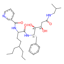 CCCC(CCC)CCC(NC(=O)c1cccnc1)C(=O)N[C@@H](Cc1ccccc1)[C@@H](O)[C@H](O)CC(=O)NCC(C)C